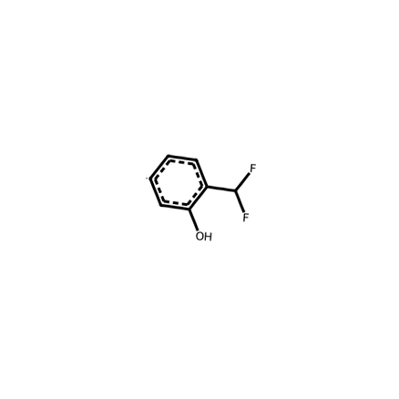 Oc1c[c]ccc1C(F)F